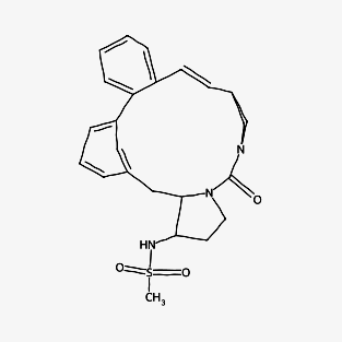 CS(=O)(=O)NC1CCN2C(=O)N3CC(/C=C/c4ccccc4-c4cccc(c4)CC12)C3